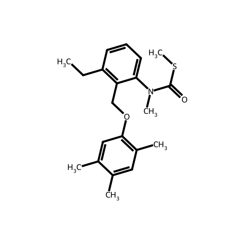 CCc1cccc(N(C)C(=O)SC)c1COc1cc(C)c(C)cc1C